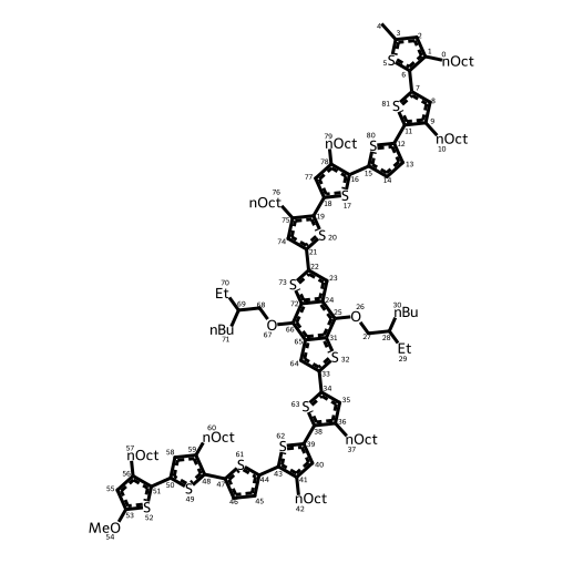 CCCCCCCCc1cc(C)sc1-c1cc(CCCCCCCC)c(-c2ccc(-c3sc(-c4sc(-c5cc6c(OCC(CC)CCCC)c7sc(-c8cc(CCCCCCCC)c(-c9cc(CCCCCCCC)c(-c%10ccc(-c%11sc(-c%12sc(OC)cc%12CCCCCCCC)cc%11CCCCCCCC)s%10)s9)s8)cc7c(OCC(CC)CCCC)c6s5)cc4CCCCCCCC)cc3CCCCCCCC)s2)s1